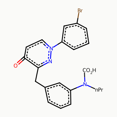 CCCN(C(=O)O)c1cccc(Cc2nn(-c3cccc(Br)c3)ccc2=O)c1